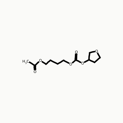 CC(=O)OCCCCOC(=O)OC1CCOC1